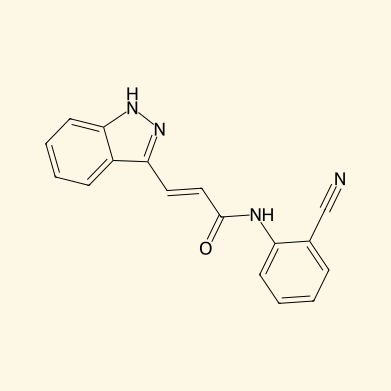 N#Cc1ccccc1NC(=O)/C=C/c1n[nH]c2ccccc12